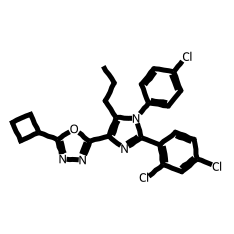 CCCc1c(-c2nnc(C3CCC3)o2)nc(-c2ccc(Cl)cc2Cl)n1-c1ccc(Cl)cc1